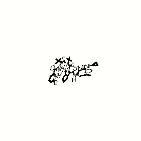 CCC[C@H](NC(=O)[C@@H]1C2CCCC2CN1C(=O)[C@@H](NC(=O)[C@@H](NC(=O)c1cccc(=O)[nH]1)C(C)(C)C)C(C)(C)C)C(=O)C(=O)NC1CC1